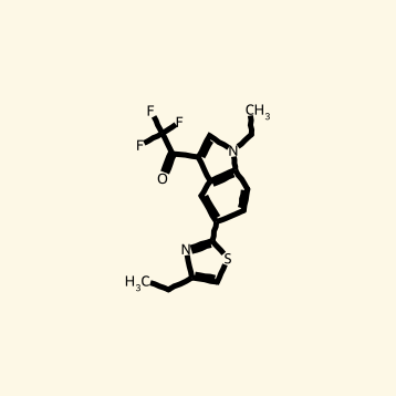 CCc1csc(-c2ccc3c(c2)c(C(=O)C(F)(F)F)cn3CC)n1